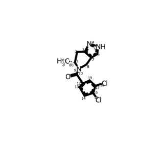 C[C@@H]1Cc2n[nH]cc2CN1C(=O)c1ccc(Cl)c(Cl)c1